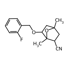 CC12CC(C#N)C(C)(O1)C(OCc1ccccc1F)C2